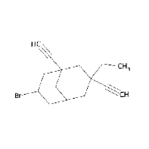 C#CC1(CC)CC2CC(Br)CC(C#C)(C2)C1